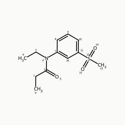 CCC(=O)N(CC)c1cccc(S(C)(=O)=O)c1